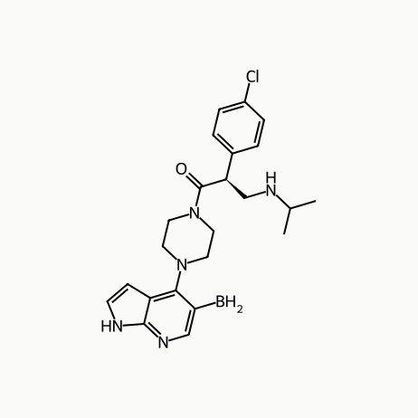 Bc1cnc2[nH]ccc2c1N1CCN(C(=O)[C@H](CNC(C)C)c2ccc(Cl)cc2)CC1